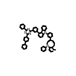 C/C=C\C1=C(/CC)C/C=C\C(c2cccc(-n3c4ccccc4c4c(-c5cccc(-c6nc(-c7ccccc7)nc(-c7ccc(-c8ccccc8)cc7)n6)c5)cccc43)c2)=C/CN1c1ccccc1